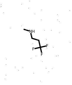 CNCCC(F)(F)F